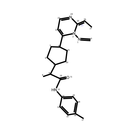 C=NN1C(C2CCC(C(C)C(=O)Nc3ccc(C)cc3)CC2)=CC=N/C1=C/C